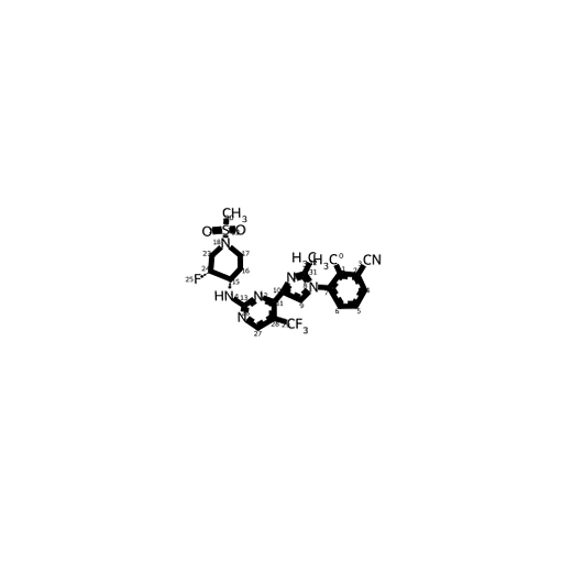 Cc1c(C#N)cccc1-n1cc(-c2nc(N[C@H]3CCN(S(C)(=O)=O)C[C@H]3F)ncc2C(F)(F)F)nc1C